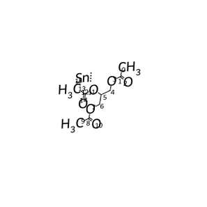 CC(=O)OCC(COC(C)=O)OC(C)=O.[Sn]